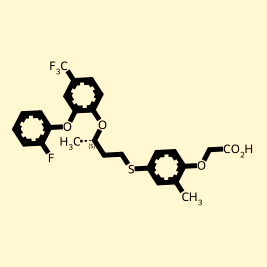 Cc1cc(SCC[C@H](C)Oc2ccc(C(F)(F)F)cc2Oc2ccccc2F)ccc1OCC(=O)O